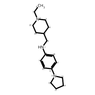 CCN1CCC(CNc2ccc(N3CCCC3)cc2)CC1